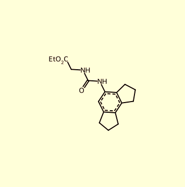 CCOC(=O)CNC(=O)Nc1cc2c(c3c1CCC3)CCC2